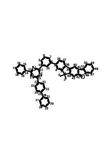 CC1(C)c2cc(-c3cccc(-c4nc(-c5ccccc5)nc(-c5ccc(-c6ccccc6)cc5)n4)c3)ccc2-c2cc3c(cc21)oc1ccccc13